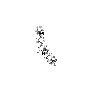 CC1CC(c2ccc(N3CC4CCC(C3)N4C(C)C)cc2)Cn2nc(-c3ccc(S(C)(=O)=O)cc3)nc21